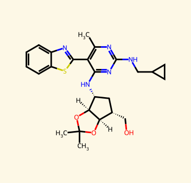 Cc1nc(NCC2CC2)nc(N[C@@H]2C[C@H](CO)[C@H]3OC(C)(C)O[C@H]32)c1-c1nc2ccccc2s1